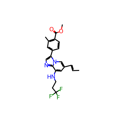 C/C=C/c1cc(NCCC(F)(F)F)c2ncc(-c3ccc(C(=O)OC)c(C)c3)n2c1